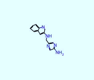 Nc1cnc(CNc2cnc3ccccc3c2)cn1